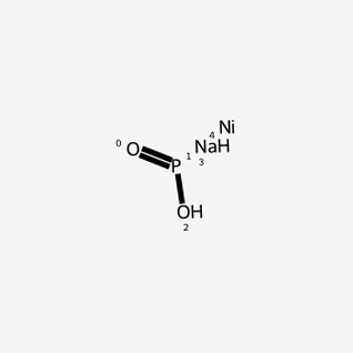 O=PO.[NaH].[Ni]